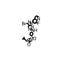 O=C1CN(C(=O)[C@@H]2CC[C@@H](Nc3ncc4c(Br)nn(-c5cc(F)c6ncccc6c5)c4n3)C2)CN1CC1CC1